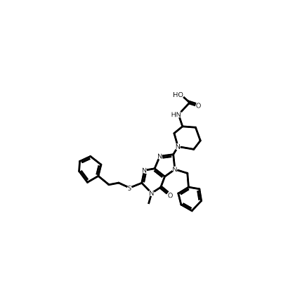 Cn1c(SCCc2ccccc2)nc2nc(N3CCCC(NC(=O)O)C3)n(Cc3ccccc3)c2c1=O